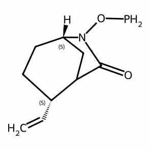 C=C[C@@H]1CC[C@H]2CC1C(=O)N2OP